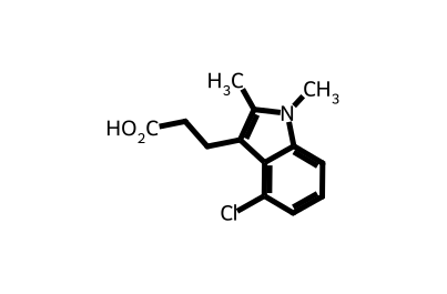 Cc1c(CCC(=O)O)c2c(Cl)cccc2n1C